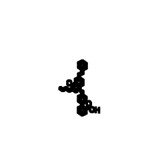 CCCCc1cn(Cc2ccc(-c3ccccc3C(=O)O)cc2)c2ccc(CCc3ccccc3)cc2c1=O